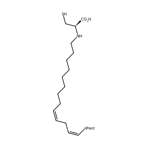 CCCCC/C=C\C/C=C\CCCCCCCCN[C@@H](CS)C(=O)O